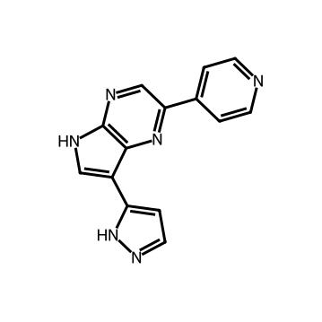 c1cc(-c2cnc3[nH]cc(-c4ccn[nH]4)c3n2)ccn1